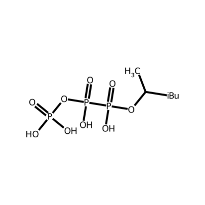 CCC(C)C(C)OP(=O)(O)P(=O)(O)OP(=O)(O)O